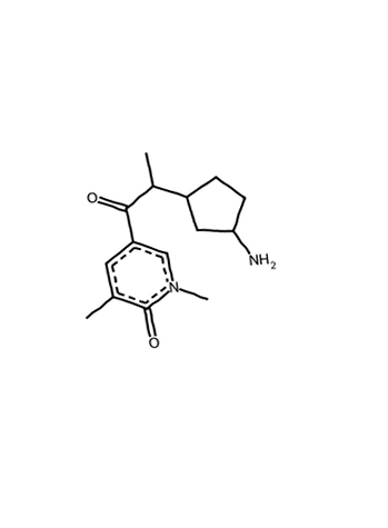 Cc1cc(C(=O)C(C)C2CCC(N)C2)cn(C)c1=O